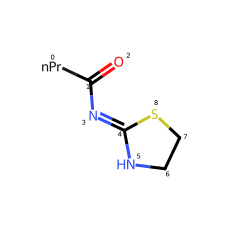 CCCC(=O)N=C1NCCS1